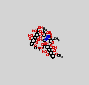 COc1cccc2c1C(=O)c1c(O)c3c(c(O)c1C2=O)C[C@@](O)(C(=O)CO)C[C@@H]3OC1CC(NN(C2CC(O[C@H]3C[C@](O)(C(=O)CO)Cc4c(O)c5c(c(O)c43)C(=O)c3c(OC)cccc3C5=O)OC(C)C2O)N2C=CCC2)C(O)C(C)O1